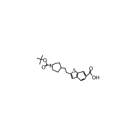 CC(C)(C)OC(=O)N1CCC(CCc2cc3ccc(C(=O)O)cc3s2)CC1